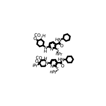 CCCSc1nc(N2CCC(OC(=O)O)(C(C)C)CC2)ccc1C(=O)NC1CCCCC1.CCCSc1nc(NC2CCC(OC(=O)O)CC2)ccc1C(=O)NC1CCCCC1